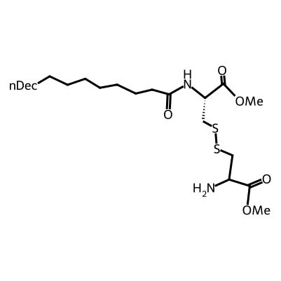 CCCCCCCCCCCCCCCCCC(=O)N[C@@H](CSSCC(N)C(=O)OC)C(=O)OC